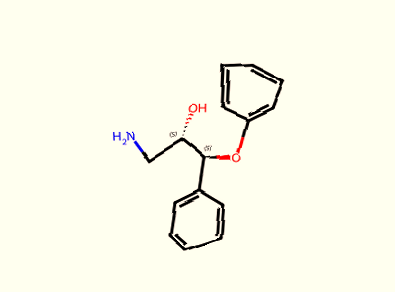 NC[C@H](O)[C@@H](Oc1ccccc1)c1ccccc1